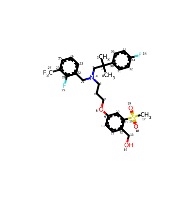 CC(C)(CN(CCCOc1ccc(CO)c(S(C)(=O)=O)c1)Cc1cccc(C(F)(F)F)c1F)c1ccc(F)cc1